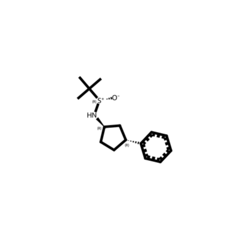 CC(C)(C)[S@+]([O-])N[C@@H]1CC[C@@H](c2ccccc2)C1